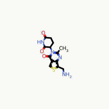 Cc1nc2c(CN)scc2c(=O)n1C1CCC(=O)NC1=O